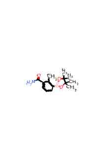 Cc1c(B2OC(C)(C)C(C)(C)O2)cccc1C(N)=O